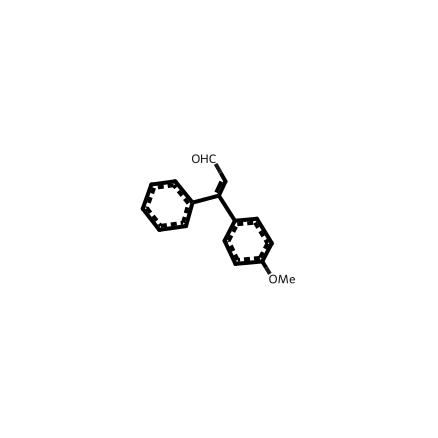 COc1ccc(/C(=C/C=O)c2ccccc2)cc1